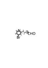 O=COCCc1cc(Br)ccn1